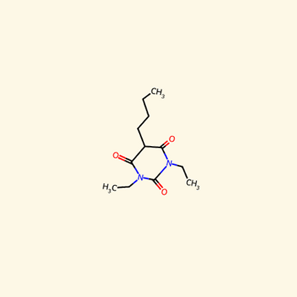 CCCCC1C(=O)N(CC)C(=O)N(CC)C1=O